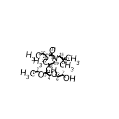 CCOCCOCCO.CCSC(=O)N(CC(C)C)CC(C)C